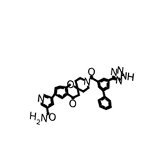 NC(=O)c1cncc(-c2ccc3c(c2)C(=O)CC2(CCN(C(=O)c4cc(-c5ccccc5)cc(-c5nn[nH]n5)c4)CC2)O3)c1